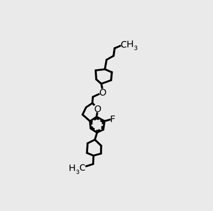 CCCCC1CCC(OCC2CCc3cc(C4CCC(CC)CC4)cc(F)c3O2)CC1